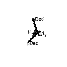 CCCCCCCCCCCCCCCCCC[N+](C)(C)CCCCCCCCCCCCCCCCCC.Cl.[Cl-]